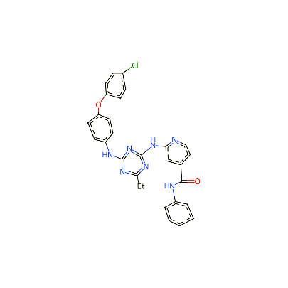 CCc1nc(Nc2ccc(Oc3ccc(Cl)cc3)cc2)nc(Nc2cc(C(=O)Nc3ccccc3)ccn2)n1